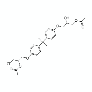 CC(=O)OC[C@@H](O)COc1ccc(C(C)(C)c2ccc(OC[C@@H](CCl)OC(C)=O)cc2)cc1